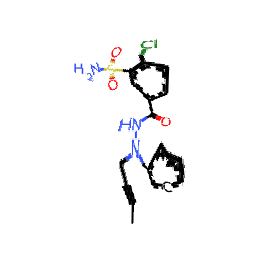 CC#CCN(NC(=O)c1ccc(Cl)c(S(N)(=O)=O)c1)c1ccccc1